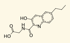 CCCc1ccc2nc(C(=O)NCC(=O)O)c(O)cc2c1